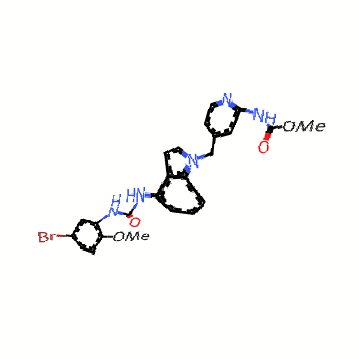 COC(=O)Nc1cc(Cn2ccc3c(NC(=O)Nc4cc(Br)ccc4OC)cccc32)ccn1